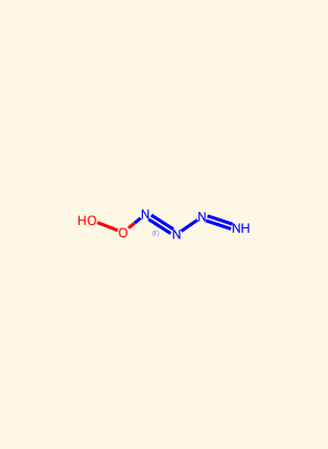 N=N/N=N/OO